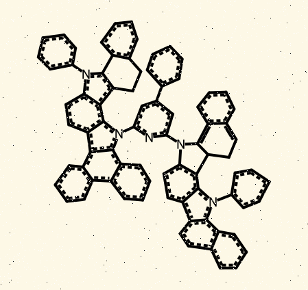 C1=c2ccccc2=C2C(C1)c1c(ccc3c4ccc5ccccc5c4n(-c4ccccc4)c13)N2c1cc(-c2ccccc2)cc(-n2c3c(ccc4c3c3c(n4-c4ccccc4)-c4ccccc4CC3)c3c4ccccc4c4ccccc4c32)n1